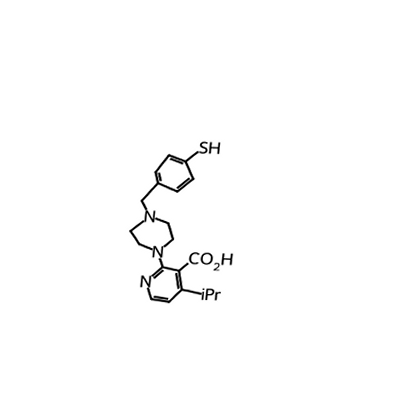 CC(C)c1ccnc(N2CCN(Cc3ccc(S)cc3)CC2)c1C(=O)O